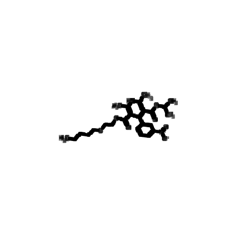 CCCCCOCCOC(=O)C1=C(C)NC(C)=C(C(=O)OC(C)C)C1c1cccc([N+](=O)[O-])c1